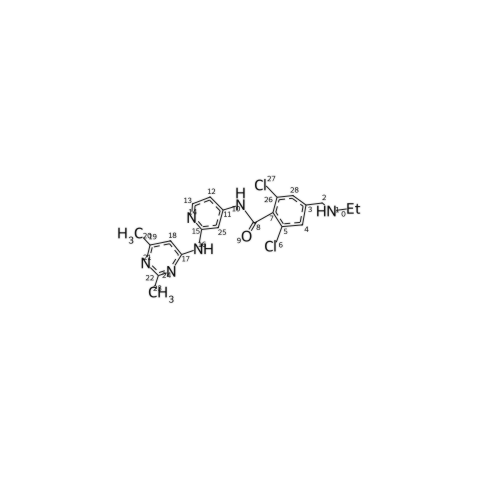 CCNCc1cc(Cl)c(C(=O)Nc2ccnc(Nc3cc(C)nc(C)n3)c2)c(Cl)c1